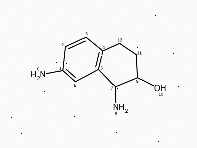 Nc1ccc2c(c1)C(N)C(O)CC2